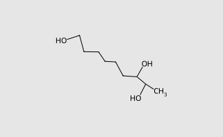 CC(O)C(O)CCCCCCO